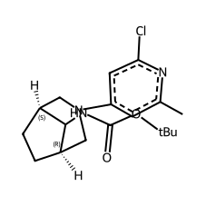 Cc1cc(N2C[C@H]3CC[C@@H](C2)C3NC(=O)OC(C)(C)C)cc(Cl)n1